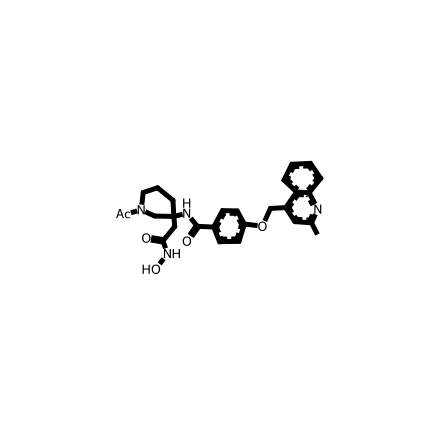 CC(=O)N1CCCC(CC(=O)NO)(NC(=O)c2ccc(OCc3cc(C)nc4ccccc34)cc2)C1